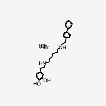 Br.Br.Oc1ccc(CCNCCCCCCNCCc2ccc(-c3ccccc3)cc2)cc1O